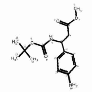 COC(=O)CC(NC(=O)OC(C)(C)C)c1ccc(N)cc1